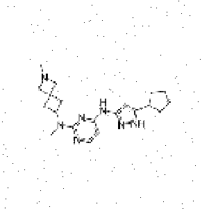 CN1CC2(CC(N(C)c3nccc(Nc4cc(C5CCCC5)[nH]n4)n3)C2)C1